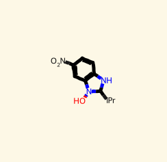 CC(C)C1Nc2ccc([N+](=O)[O-])cc2N1O